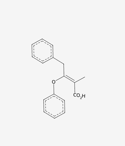 CC(C(=O)O)=C(Cc1ccccc1)Oc1ccccc1